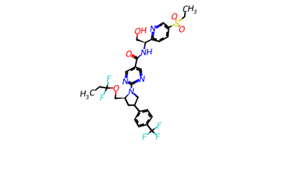 CCC(F)(F)OC[C@@H]1CC(c2ccc(C(F)(F)F)cc2)CN1c1ncc(C(=O)N[C@@H](CO)c2ccc(S(=O)(=O)CC)cn2)cn1